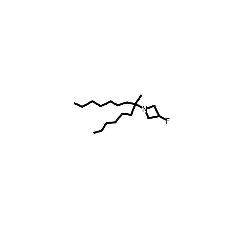 CCCCCCCC(C)(CCCCCC)N1CC(F)C1